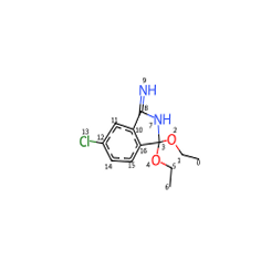 CCOC1(OCC)NC(=N)c2cc(Cl)ccc21